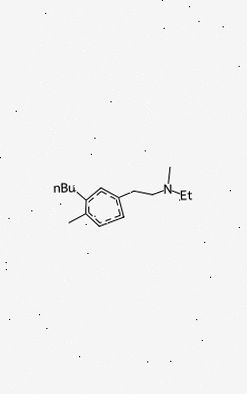 CCCCc1cc(CCN(C)CC)ccc1C